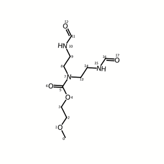 COCCOC(=O)N(CCNC=O)CCNC=O